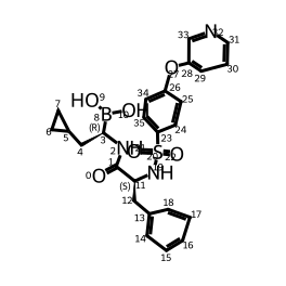 O=C(N[C@@H](CC1CC1)B(O)O)[C@H](Cc1ccccc1)NS(=O)(=O)c1ccc(Oc2cccnc2)cc1